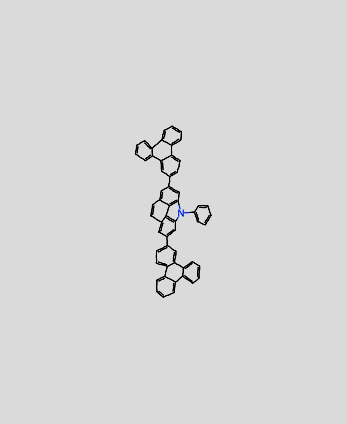 c1ccc(-n2c3cc(-c4ccc5c6ccccc6c6ccccc6c5c4)cc4ccc5cc(-c6ccc7c8ccccc8c8ccccc8c7c6)cc2c5c43)cc1